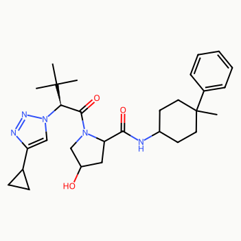 CC1(c2ccccc2)CCC(NC(=O)C2CC(O)CN2C(=O)[C@@H](n2cc(C3CC3)nn2)C(C)(C)C)CC1